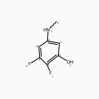 CNc1cc(O)c(F)c(F)c1